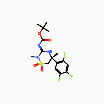 CN1/C(=N/C(=O)OC(C)(C)C)N[C@](C)(c2cc(F)c(F)cc2F)CS1(=O)=O